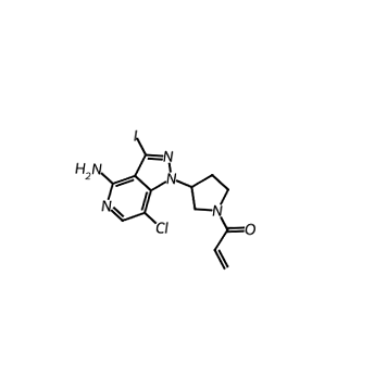 C=CC(=O)N1CCC(n2nc(I)c3c(N)ncc(Cl)c32)C1